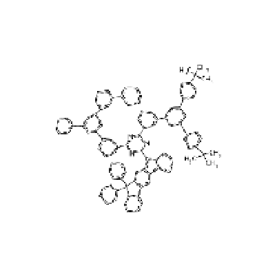 CC(C)(C)c1ccc(-c2cc(-c3ccc(C(C)(C)C)cc3)cc(-c3cccc(-c4nc(-c5cccc(-c6cc(-c7ccccc7)cc(-c7cccc(-c8ccccc8)c7)c6)c5)nc(-n5c6ccccc6c6cc7c(cc65)C(c5ccccc5)(c5ccccc5)c5ccccc5-7)n4)c3)c2)cc1